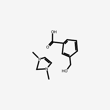 CN1C=CN(C)C1.O=C(O)c1cccc(CO)c1